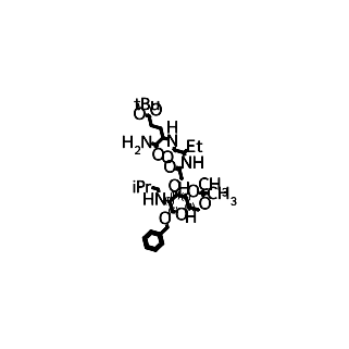 CCC(NC(=O)CO[C@@H]1[C@@H](NCC(C)C)[C@@H](OCc2ccccc2)O[C@@H]2COC(C)(C)O[C@@H]12)C(=O)NC(CCC(=O)OC(C)(C)C)C(N)=O